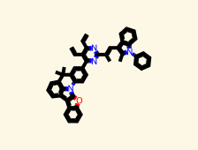 C=Cc1nc(/C(C)=C/c2c(C)n(-c3ccccc3)c3ccccc23)nc(-c2ccc3c(c2)C(C)(C)c2cccc4c5c6ccccc6oc5n-3c24)c1C=C